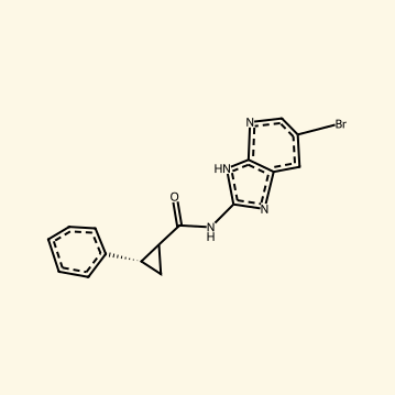 O=C(Nc1nc2cc(Br)cnc2[nH]1)C1C[C@@H]1c1ccccc1